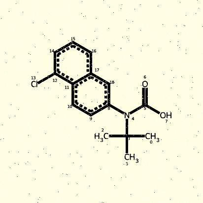 CC(C)(C)N(C(=O)O)c1ccc2c(Cl)cccc2c1